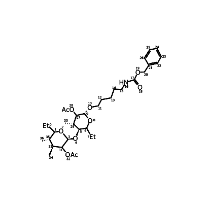 CCC1O[C@@H](O[C@@H]2C(CC)O[C@@H](OCCCCCNC(=O)OCc3ccccc3)C(OC(C)=O)[C@H]2C)C(OC(C)=O)[C@@H](C)[C@@H]1C